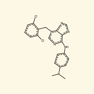 CN(C)c1ccc(Nc2ncn(Cc3c(Cl)cccc3Cl)c3ncnc2-3)cc1